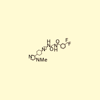 CNc1ccncc1C1CCC(N2CC(NC(=O)CNC(=O)c3cccc(C(F)F)c3)C2)CC1